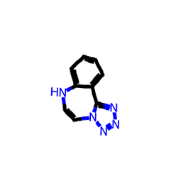 C1=Cn2nnnc2-c2ccccc2N1